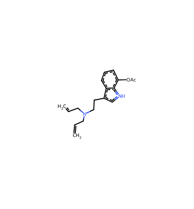 C=CCN(CC=C)CCc1c[nH]c2c(OC(C)=O)cccc12